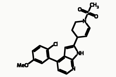 COc1ccc(Cl)c(-c2ccnc3[nH]c(C4C=CN(S(C)(=O)=O)CC4)cc23)c1